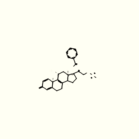 C[C@]12C=CC(=O)C=C1CCC1=C2[C@@H](O)C[C@@]2(C)[C@H]1CC[C@]2(OC(=O)c1ccccc1)C(=O)COS(C)(=O)=O